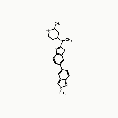 CC1CC(N(C)c2nc3ccc(-c4ccc5nn(C)cc5c4)cc3s2)CCN1